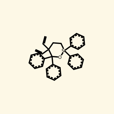 C=CC1(C=C)CC[Si](c2ccccc2)(c2ccccc2)OC1(c1ccccc1)c1ccccc1